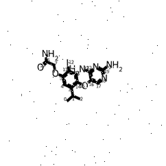 CC(C)c1cc(OCC(N)=O)c(I)cc1Oc1cnc(N)nc1N